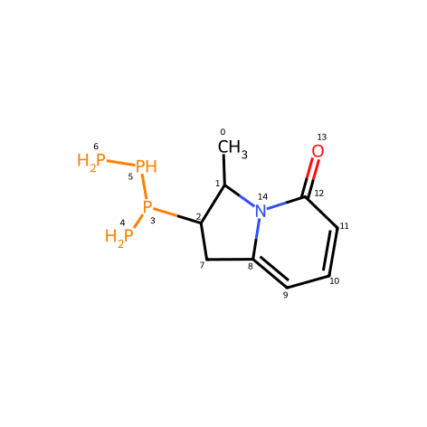 CC1C(P(P)PP)Cc2cccc(=O)n21